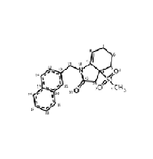 CS(=O)(=O)C12CCCC=C1N(Cc1ccc3ccccc3c1)C(=O)C2